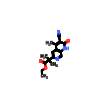 CCOC(=O)C(C)(C)c1cc2c(C)c(C#N)c(=O)[nH]c2cn1